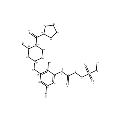 CCS(=O)(=O)CCC(=O)Nc1cc(Cl)cc(CN2CCN(C(=O)C3CCCC3)C(C)C2)c1C